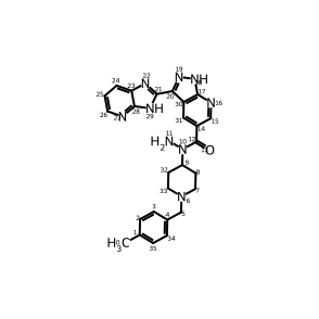 Cc1ccc(CN2CCC(N(N)C(=O)c3cnc4[nH]nc(-c5nc6cccnc6[nH]5)c4c3)CC2)cc1